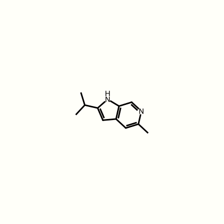 Cc1cc2cc(C(C)C)[nH]c2cn1